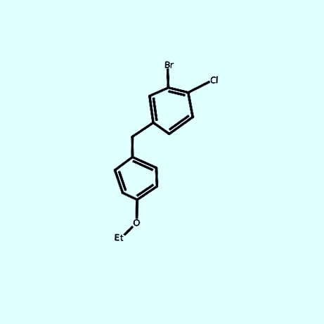 CCOc1ccc(Cc2ccc(Cl)c(Br)c2)cc1